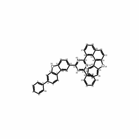 c1ccc(-c2ccc3c(c2)oc2ccc(-c4nc(-c5ccccc5)nc(-c5cccc6ccc7oc8ccccc8c7c56)n4)cc23)cc1